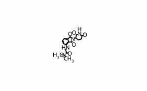 CN(C)C(=O)CNc1cccc2c1C(=O)N(C1CCC(=O)NC1=O)C2=O